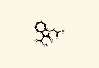 NC(=O)c1c2cccccc-2n(CC(=O)O)c1=O